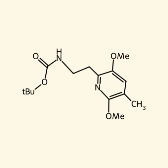 COc1cc(C)c(OC)nc1CCNC(=O)OC(C)(C)C